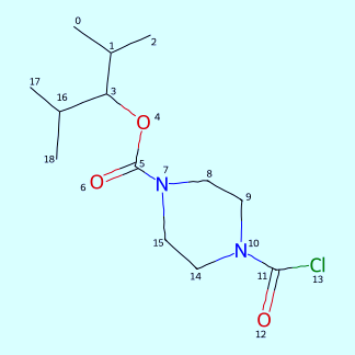 CC(C)C(OC(=O)N1CCN(C(=O)Cl)CC1)C(C)C